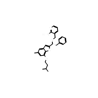 CC(C)CCNc1cc(Cl)cc2cc([C@H](Cc3ccccc3)NCc3cccnc3N)[nH]c12